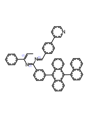 C\C=C(/N=C(\N=C\c1ccc(-c2cccnc2)cc1)c1cccc(-c2c3ccccc3c(-c3cccc4ccccc34)c3ccccc23)c1)c1ccccc1